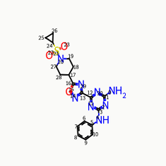 Nc1nc(Nc2ccccc2)nc(-c2noc(C3CCN(S(=O)(=O)C4CC4)CC3)n2)n1